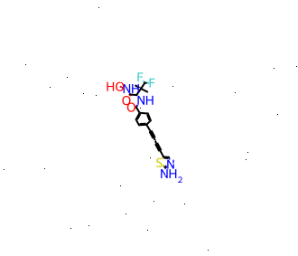 CC(C)(C(F)F)[C@H](NC(=O)c1ccc(C#CC#Cc2cnc(N)s2)cc1)C(=O)NO